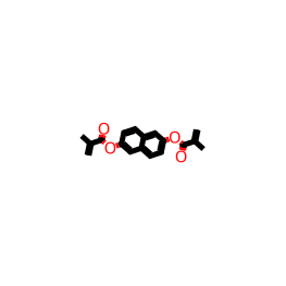 C=C(C)C(=O)Oc1ccc2cc(OC(=O)C(=C)C)ccc2c1